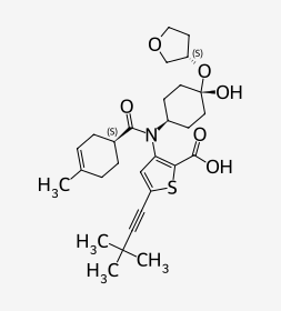 CC1=CC[C@@H](C(=O)N(c2cc(C#CC(C)(C)C)sc2C(=O)O)[C@H]2CC[C@](O)(O[C@H]3CCOC3)CC2)CC1